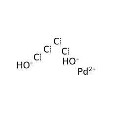 [C].[C].[C].[C].[OH-].[OH-].[Pd+2]